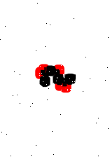 O=C(c1ccc2c(c1)C(c1ccccc1)C(=O)O2)c1ccc2c(c1)C(c1ccccc1)C(=O)O2